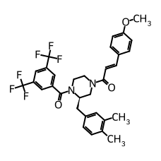 COc1ccc(/C=C/C(=O)N2CCN(C(=O)c3cc(C(F)(F)F)cc(C(F)(F)F)c3)[C@H](Cc3ccc(C)c(C)c3)C2)cc1